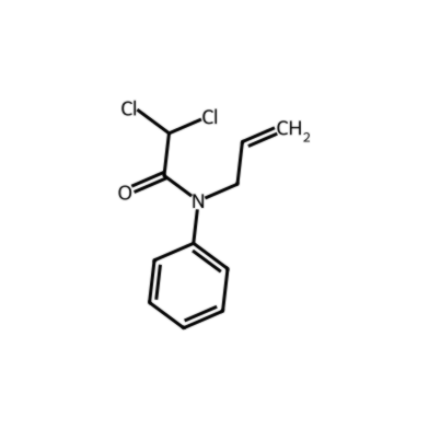 C=CCN(C(=O)C(Cl)Cl)c1ccccc1